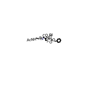 CCOC(=O)/C(=N\OCCNC(C)=O)c1csc(NC(=O)OCc2ccccc2)n1